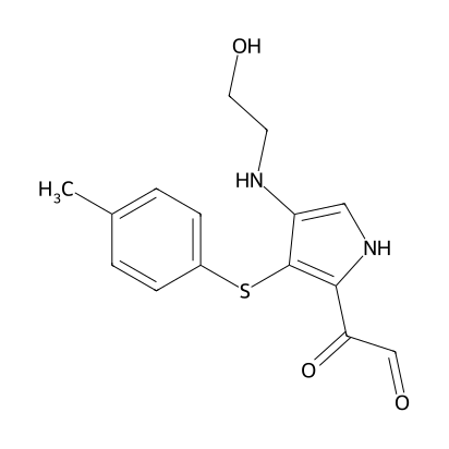 Cc1ccc(Sc2c(NCCO)c[nH]c2C(=O)C=O)cc1